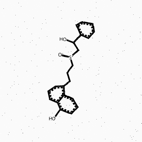 [O-][S+](CCCc1cccc2c(O)cccc12)CC(O)c1ccccc1